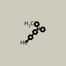 C#Cc1ccc(-c2ccc(N(c3ccccc3)c3cccc(C)c3)cc2)cc1